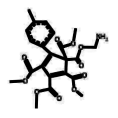 COC(=O)C1=C(C(=O)OC)C(C(=O)OC)(C(=O)OCN)C(c2ccc(C)cc2)=C1C(=O)OC